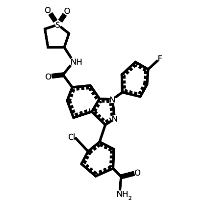 NC(=O)c1ccc(Cl)c(-c2nn(-c3ccc(F)cc3)c3cc(C(=O)NC4CCS(=O)(=O)C4)ccc23)c1